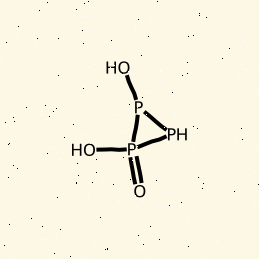 O=P1(O)PP1O